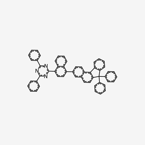 c1ccc(-c2nc(-c3ccccc3)nc(-c3ccc(-c4ccc5c6c(ccc5c4)C(c4ccccc4)(c4ccccc4)c4ccccc4-6)c4ccccc34)n2)cc1